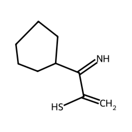 C=C(S)C(=N)C1CCCCC1